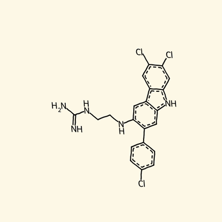 N=C(N)NCCNc1cc2c(cc1-c1ccc(Cl)cc1)[nH]c1cc(Cl)c(Cl)cc12